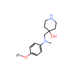 CC(C)Oc1ccc(N(C)CC2(O)CCNCC2)cc1